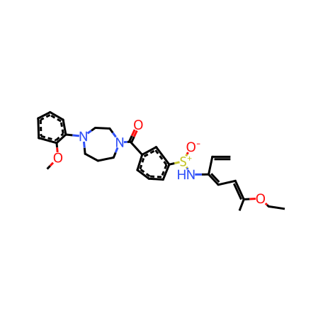 C=C/C(=C\C=C(/C)OCC)N[S+]([O-])c1cccc(C(=O)N2CCCN(c3ccccc3OC)CC2)c1